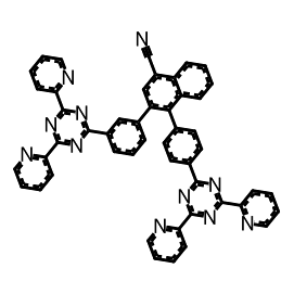 N#Cc1cc(-c2cccc(-c3nc(-c4ccccn4)nc(-c4ccccn4)n3)c2)c(-c2ccc(-c3nc(-c4ccccn4)nc(-c4ccccn4)n3)cc2)c2ccccc12